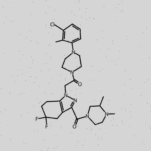 Cc1c(Cl)cccc1N1CCN(C(=O)Cn2nc(C(=O)N3CCN(C)C(C)C3)c3c2CCC(F)(F)C3)CC1